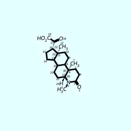 CN1C(=O)CC[C@]2(C)C3CC[C@@]4(C)C(CC[C@@H]4C(=O)C(=O)O)C3CC[C@@H]12